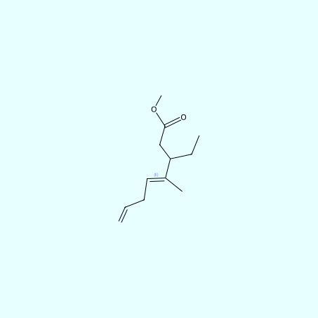 C=CC/C=C(\C)C(CC)CC(=O)OC